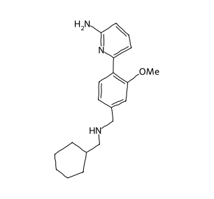 COc1cc(CNCC2CCCCC2)ccc1-c1cccc(N)n1